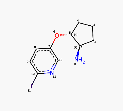 N[C@@H]1CCC[C@H]1Oc1ccc(I)nc1